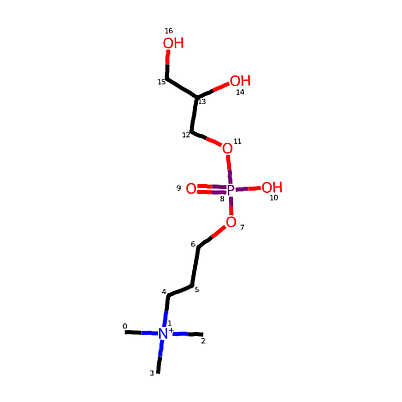 C[N+](C)(C)CCCOP(=O)(O)OCC(O)CO